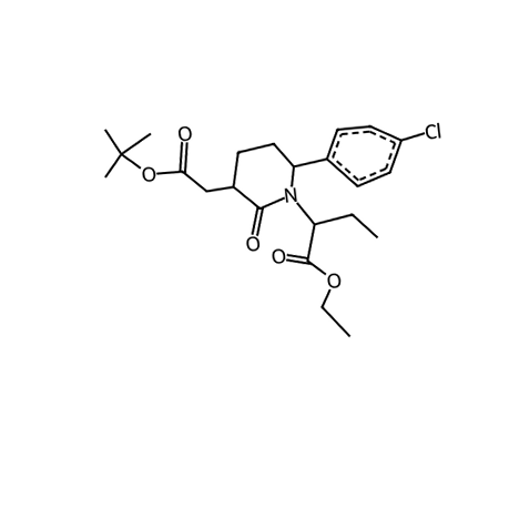 CCOC(=O)C(CC)N1C(=O)C(CC(=O)OC(C)(C)C)CCC1c1ccc(Cl)cc1